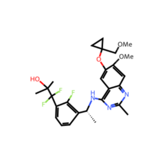 COCC1(Oc2cc3c(N[C@H](C)c4cccc(C(F)(F)C(C)(C)O)c4F)nc(C)nc3cc2OC)CC1